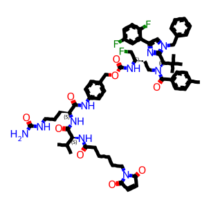 Cc1ccc(C(=O)N(CC[C@@H](CF)NC(=O)OCc2ccc(NC(=O)[C@H](CCCNC(N)=O)NC(=O)[C@@H](NC(=O)CCCCCN3C(=O)C=CC3=O)C(C)C)cc2)[C@@H](c2nc(-c3cc(F)ccc3F)cn2Cc2ccccc2)C(C)(C)C)cc1